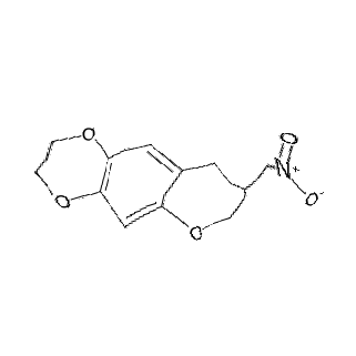 O=[N+]([O-])C1COc2cc3c(cc2C1)OCCO3